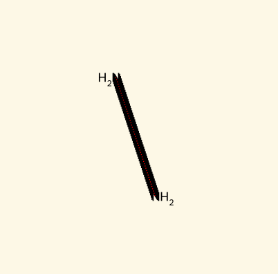 N/N=N/N=N/N=N/N=N/N=N/N=N/N=N/N=N/N=N/N=N/N=N/N=N/N=N/N=N/N=N/N=N/N=N/N=N/N=N/N=N/N=N/N=N/N=N/N=N/N=N/N=N/N=N/N=N/N=N/N=N/N=N/N=N/N=N/N=N/N=N/N=N/N=N/N=N/N=N/N=N/N=N/N=N/N=N/N=N/N=N/N=N/N=N/N=N/N=N/N=N/N=N/N=N/N